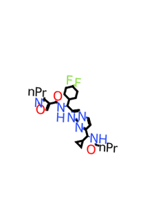 CCCC(=O)N[C@@H](c1ccn2cc([C@@H](NC(=O)c3conc3CCC)C3CCC(F)(F)CC3)nc2n1)C1CC1